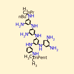 CCCCCC(C)(C)Nc1cccc(Nc2cc(Nc3cc(N)cc(N)c3)cc(Nc3cc(N)cc(Nc4cc(N)cc(NC(C)(CCC)CCCC)c4)c3)c2)c1